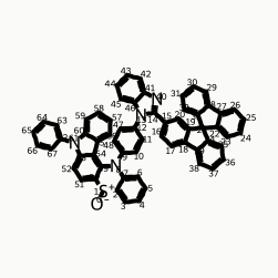 [O-][S+]1c2ccccc2N(c2ccc(-n3c(-c4ccc5c(c4)C4(c6ccccc6-c6ccccc64)c4ccccc4-5)nc4ccccc43)cc2)c2c1ccc1c2c2ccccc2n1-c1ccccc1